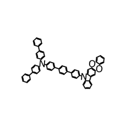 c1ccc(-c2ccc(N(c3ccc(-c4ccccc4)cc3)c3ccc(-c4ccc(-c5ccc(-n6c7ccccc7c7cc8c(cc76)Oc6ccccc6O8)cc5)cc4)cc3)cc2)cc1